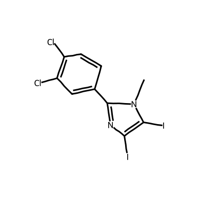 Cn1c(-c2ccc(Cl)c(Cl)c2)nc(I)c1I